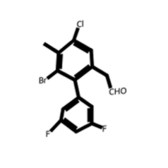 Cc1c(Cl)cc(CC=O)c(-c2cc(F)cc(F)c2)c1Br